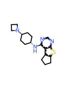 c1nc(N[C@H]2CC[C@H](N3CCC3)CC2)c2c3c(sc2n1)CCC3